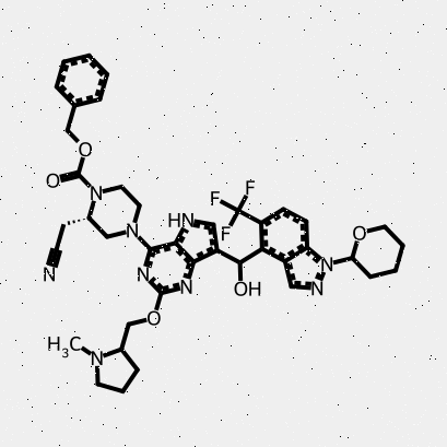 CN1CCCC1COc1nc(N2CCN(C(=O)OCc3ccccc3)[C@@H](CC#N)C2)c2[nH]cc(C(O)c3c(C(F)(F)F)ccc4c3cnn4C3CCCCO3)c2n1